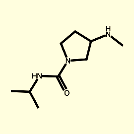 CNC1CCN(C(=O)NC(C)C)C1